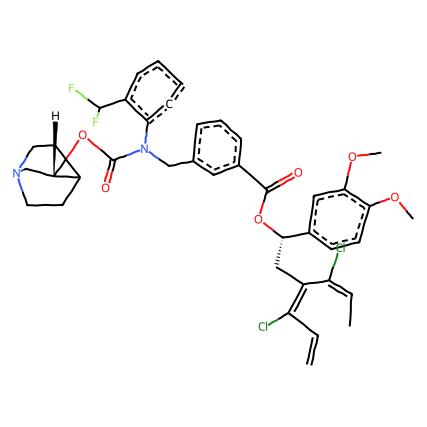 C=C/C(Cl)=C(C[C@H](OC(=O)c1cccc(CN(C(=O)O[C@H]2CN3CCC2CC3)c2ccccc2C(F)F)c1)c1ccc(OC)c(OC)c1)\C(Cl)=C/C